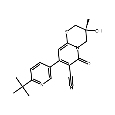 CC(C)(C)c1ccc(-c2cc3n(c(=O)c2C#N)C[C@@](C)(O)CS3)cn1